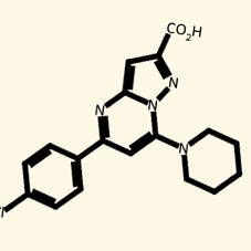 O=C(O)c1cc2nc(-c3ccc(Cl)cc3)cc(N3CCCCC3)n2n1